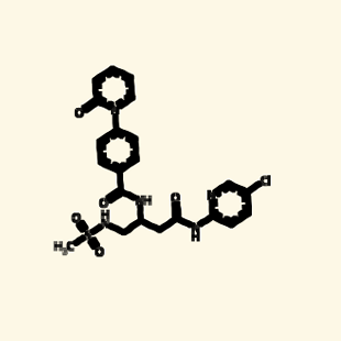 CS(=O)(=O)NCC(CC(=O)Nc1ccc(Cl)cn1)NC(=O)c1ccc(-n2ccccc2=O)cc1